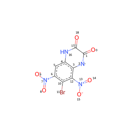 O=C1[N]c2c(cc([N+](=O)[O-])c(Br)c2[N+](=O)[O-])NC1=O